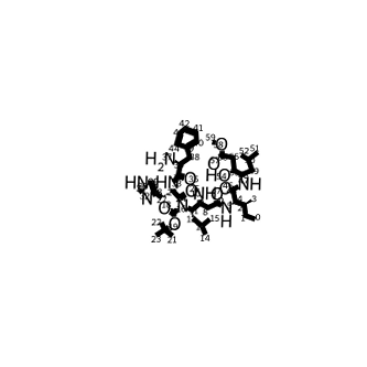 CC[C@H](C)[C@H](NC(=O)CC(N)[C@H](CC(C)C)N(C(=O)OC(C)(C)C)C(=O)[C@H](Cc1c[nH]cn1)NC(=O)[C@@H](N)Cc1ccccc1)C(=O)NC(CC(C)C)[C@@H](O)CC(=O)OC